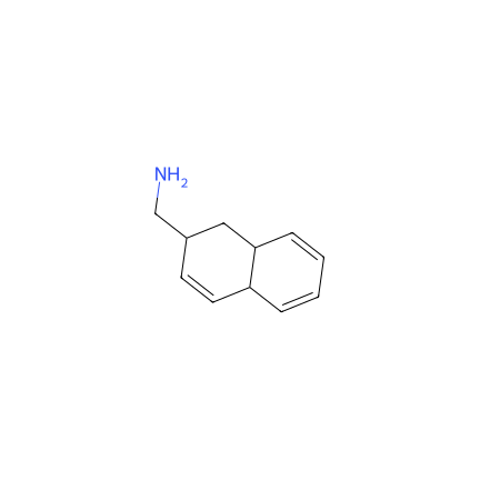 NCC1C=CC2C=CC=CC2C1